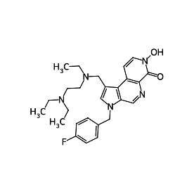 CCN(CC)CCN(CC)Cc1cn(Cc2ccc(F)cc2)c2cnc3c(=O)n(O)ccc3c12